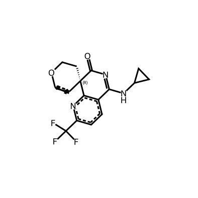 O=C1N=C(NC2CC2)c2ccc(C(F)(F)F)nc2[C@]12CCOc1ccccc12